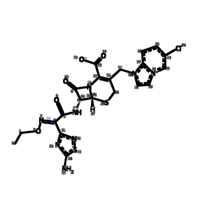 CCO/N=C(/C(=O)N[C@@H]1C(=O)N2C(C(=O)[O-])=C(Cn3cc[n+]4cc(Cl)ccc34)CS[C@H]12)c1nsc(N)n1